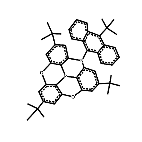 CC(C)(C)c1cc2c3c(c1)Oc1cc(C(C)(C)C)cc4c1P3c1c(cc(C(C)(C)C)cc1N4c1c3ccccc3c(C(C)(C)C)c3ccccc13)O2